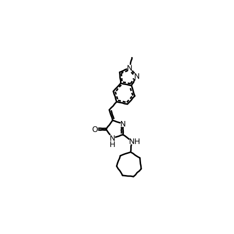 Cn1cc2cc(/C=C3\N=C(NC4CCCCCC4)NC3=O)ccc2n1